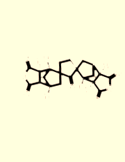 O=C1OC(=O)[C@@H]2C1[C@@H]1C[C@H]2C2(CC[C@]3(CC4C[C@@H]3[C@@H]3C(=O)OC(=O)[C@H]43)C2=O)C1